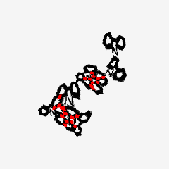 c1ccc(-n2c3ccccc3c3ccccc32)c(-c2ccc(-c3ccc4c(c3)c3ccccc3n4-c3ccc4c(c3)c3c(-n5c6ccccc6c6ccccc65)cccc3n4-c3ccccc3-c3ccccc3-n3c4ccccc4c4ccccc43)cc2-n2c3ccccc3c3cc(-n4c5ccccc5c5cc(-n6c7ccccc7c7ccccc76)ccc54)ccc32)c1